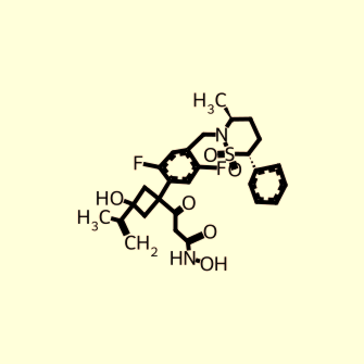 C=C(C)C1(O)CC(C(=O)CC(=O)NO)(c2cc(F)c(CN3[C@@H](C)CC[C@H](c4ccccc4)S3(=O)=O)cc2F)C1